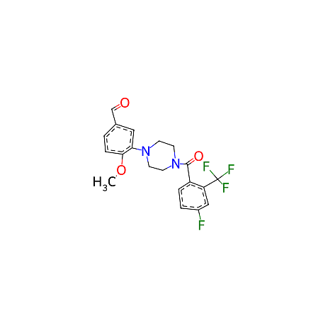 COc1ccc(C=O)cc1N1CCN(C(=O)c2ccc(F)cc2C(F)(F)F)CC1